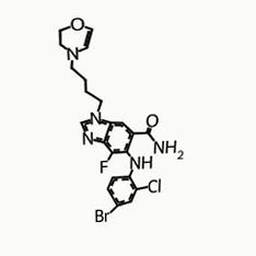 NC(=O)c1cc2c(ncn2CCCCN2C=COCC2)c(F)c1Nc1ccc(Br)cc1Cl